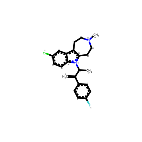 C=C(c1ccc(F)cc1)C(C)n1c2c(c3cc(Cl)ccc31)CCN(C)CC2